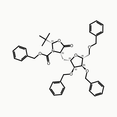 CC(C)(C)[C@@H]1OC(=O)[C@H](C[C@@H]2O[C@H](COCc3ccccc3)[C@@H](OCc3ccccc3)[C@H]2OCc2ccccc2)N1C(=O)OCc1ccccc1